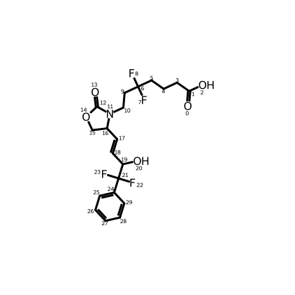 O=C(O)CCCC(F)(F)CCN1C(=O)OCC1C=CC(O)C(F)(F)c1ccccc1